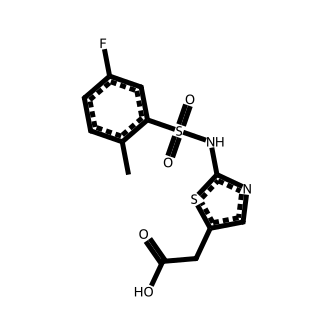 Cc1ccc(F)cc1S(=O)(=O)Nc1ncc(CC(=O)O)s1